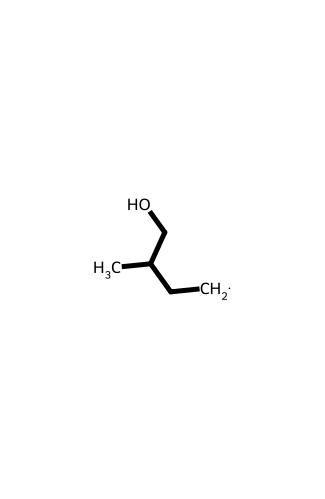 [CH2]CC(C)CO